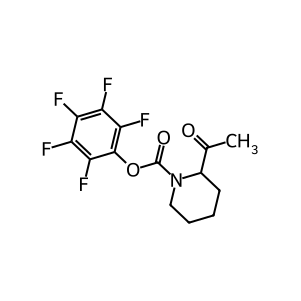 CC(=O)C1CCCCN1C(=O)Oc1c(F)c(F)c(F)c(F)c1F